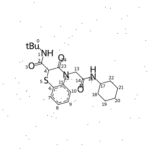 CC(C)(C)NC(=O)C1Sc2ccccc2N(CC(=O)NC2CCCCC2)C1=O